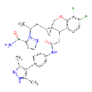 Cc1n[nH]c(C)c1-c1ccc(NC(=O)CC2c3ccc(F)c(F)c3OCC23CC3CC(C)n2nccc2C(N)=O)cc1